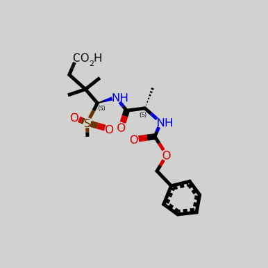 C[C@H](NC(=O)OCc1ccccc1)C(=O)N[C@H](C(C)(C)CC(=O)O)S(C)(=O)=O